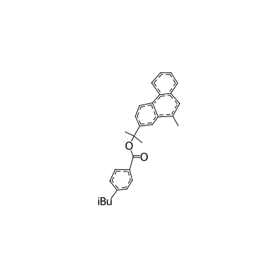 CCC(C)c1ccc(C(=O)OC(C)(C)c2ccc3c(c2)c(C)cc2ccccc23)cc1